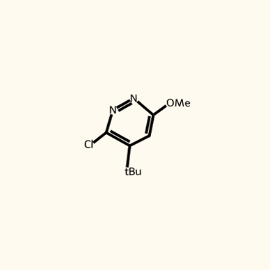 COc1cc(C(C)(C)C)c(Cl)nn1